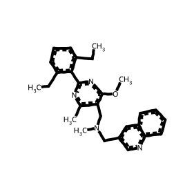 CCc1cccc(CC)c1-c1nc(C)c(CN(C)Cc2cnc3ccccc3c2)c(OC)n1